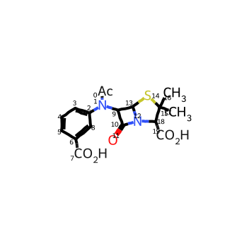 CC(=O)N(c1cccc(C(=O)O)c1)C1C(=O)N2C1SC(C)(C)C2C(=O)O